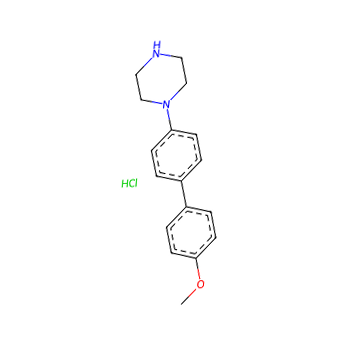 COc1ccc(-c2ccc(N3CCNCC3)cc2)cc1.Cl